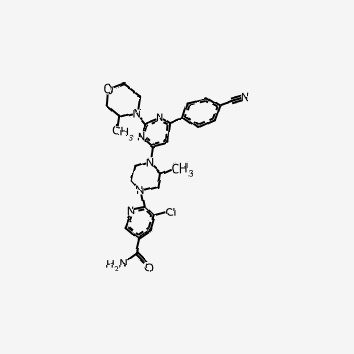 CC1CN(c2ncc(C(N)=O)cc2Cl)CCN1c1cc(-c2ccc(C#N)cc2)nc(N2CCOCC2C)n1